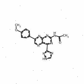 COc1ccc(-c2cnc3c(-c4nc[nH]n4)nc(NC(C)=O)nc3n2)cc1